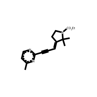 CCOC(=O)N1CC/C(=C\C#Cc2nccc(C)n2)C1(C)C